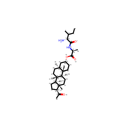 CCC(C)[C@@H](N)C(=O)N[C@@H](C)C(=O)O[C@@H]1CC[C@@]2(C)[C@@H](CC[C@@H]3[C@@H]2CC[C@]2(C)[C@@H](C(C)=O)CC[C@@H]32)C1